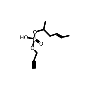 C#CCOP(=O)(O)OC(C)CC=CC